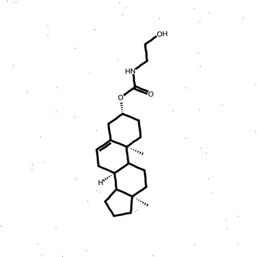 C[C@]12CCCC1[C@H]1CC=C3C[C@H](OC(=O)NCCO)CC[C@@]3(C)C1CC2